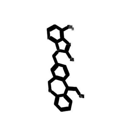 CCc1nc2c(C)ccnc2n1Cc1ccc2c(c1)COc1ccccc1C2=CC#N